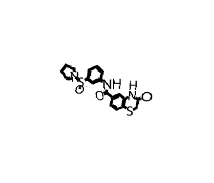 O=C1CSc2ccc(C(=O)Nc3cccc([S+]([O-])N4CCCC4)c3)cc2N1